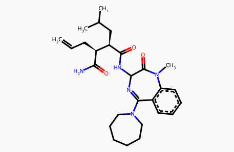 C=CC[C@H](C(N)=O)[C@@H](CC(C)C)C(=O)NC1N=C(N2CCCCCC2)c2ccccc2N(C)C1=O